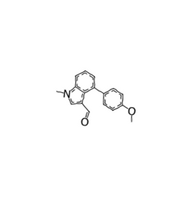 COc1ccc(-c2cccc3c2c(C=O)cn3C)cc1